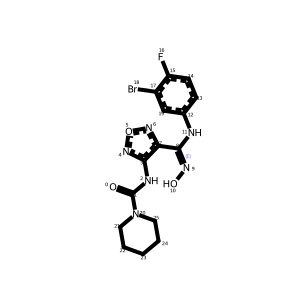 O=C(Nc1nonc1/C(=N\O)Nc1ccc(F)c(Br)c1)N1CCCCC1